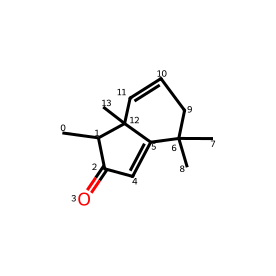 CC1C(=O)C=C2C(C)(C)CC=CC21C